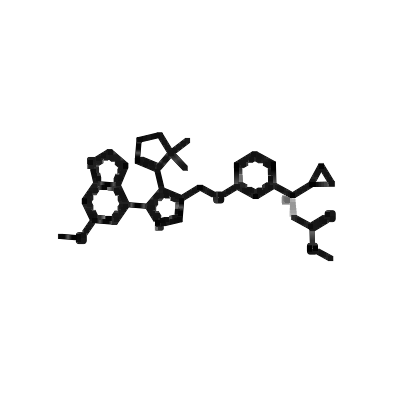 COC(=O)C[C@H](c1cccc(OCc2csc(-c3cc(OC)cc4sccc34)c2C2=CCCC2(C)C)c1)C1CC1